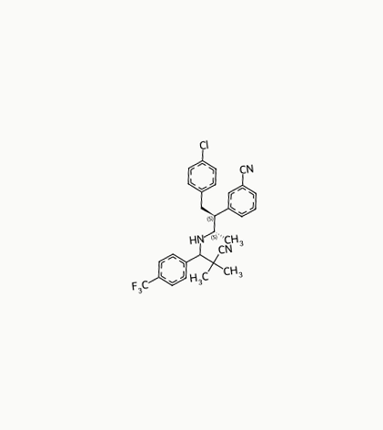 C[C@H](NC(c1ccc(C(F)(F)F)cc1)C(C)(C)C#N)[C@@H](Cc1ccc(Cl)cc1)c1cccc(C#N)c1